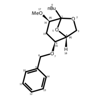 CCCCC12OC[C@@H](O1)[C@@H](OCc1ccccc1)C[C@H]2OC